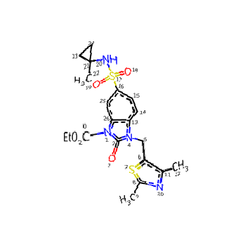 CCOC(=O)n1c(=O)n(Cc2sc(C)nc2C)c2ccc(S(=O)(=O)NC3(C)CC3)cc21